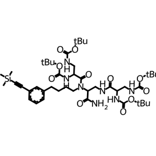 CC(C)(C)OC(=O)NCC(NC(=O)OC(C)(C)C)C(=O)NCC(C(N)=O)N(CCCCc1cccc(C#C[Si](C)(C)C)c1)C(=O)C(CNC(=O)OC(C)(C)C)NC(=O)OC(C)(C)C